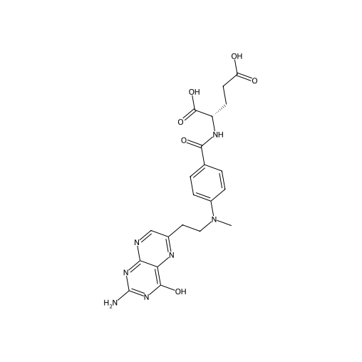 CN(CCc1cnc2nc(N)nc(O)c2n1)c1ccc(C(=O)N[C@@H](CCC(=O)O)C(=O)O)cc1